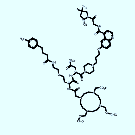 COC(=O)C[C@H](NC(=O)[C@H](CCOCCNC(=O)CCCc1ccc(C)cc1)NC(=O)CN1CCN(COC=O)CCN(COC=O)CCN(CC(=O)O)CC1)C(=O)N1CCN(CCCOc2ccc3nccc(C(=O)NCC(=O)N4CC(C)(F)C[C@@H]4C#N)c3c2)CC1